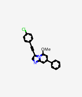 COc1cc(-c2ccccc2)cc2ncc(C#Cc3ccc(Cl)cc3)n12